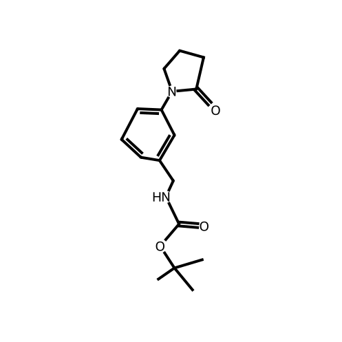 CC(C)(C)OC(=O)NCc1cccc(N2CCCC2=O)c1